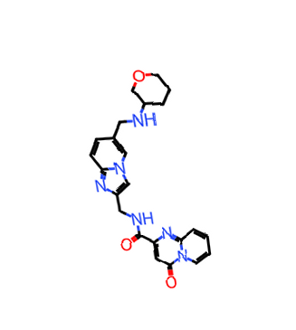 O=C(NCc1cn2cc(CNC3CCCOC3)ccc2n1)c1cc(=O)n2ccccc2n1